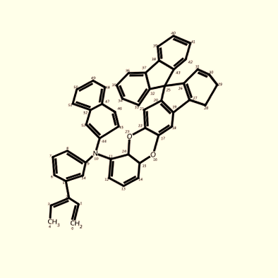 C=C/C(=C\C)c1cccc(N(C2=CC=CC3Oc4cc5c(cc4OC23)C2(C3=C5CCC=C3)c3ccccc3-c3ccccc32)c2ccc3ccccc3c2)c1